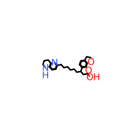 O=C(O)CC(CCCCCCc1ccc2c(n1)CCCN2)c1ccc2c(c1)OCC2